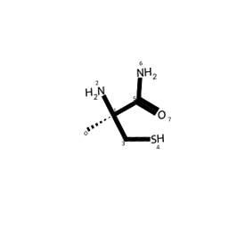 C[C@@](N)(CS)C(N)=O